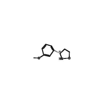 COc1cccc([C@@H]2CCON2)c1